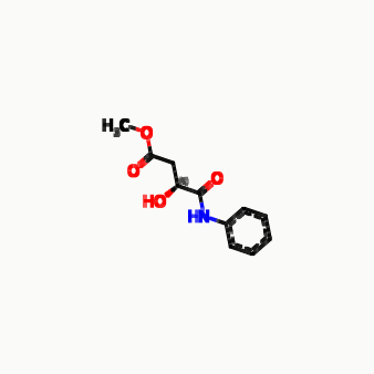 COC(=O)C[C@H](O)C(=O)Nc1ccccc1